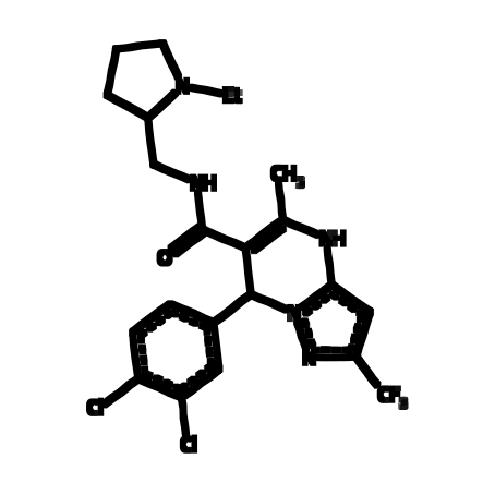 CCN1CCCC1CNC(=O)C1=C(C)Nc2cc(C(F)(F)F)nn2C1c1ccc(Cl)c(Cl)c1